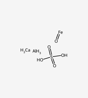 O=S(=O)(O)O.[AlH3].[CaH2].[O]=[Fe]